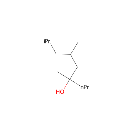 CCCC(C)(O)CC(C)CC(C)C